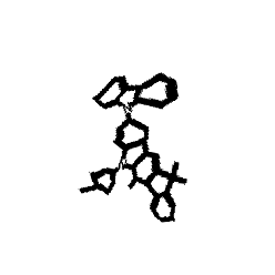 Cc1ccc(-n2c3c(c4cc(-n5c6ccccc6c6ccccc65)ccc42)C=C2C(c4ccccc4C2(C)C)C3C)cc1